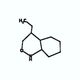 CCC1CONC2CCCCC12